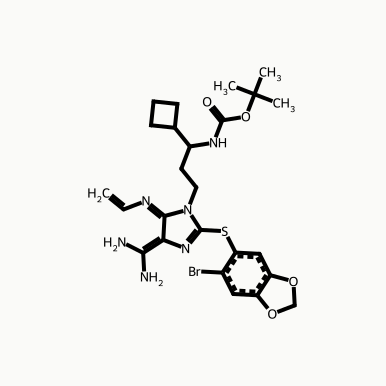 C=C/N=C1\C(=C(N)N)N=C(Sc2cc3c(cc2Br)OCO3)N1CCC(NC(=O)OC(C)(C)C)C1CCC1